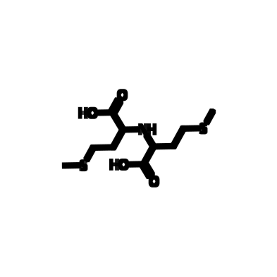 CSCCC(NC(CCSC)C(=O)O)C(=O)O